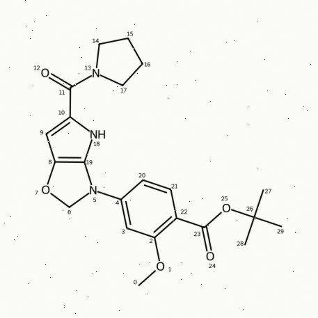 COc1cc(N2COc3cc(C(=O)N4CCCC4)[nH]c32)ccc1C(=O)OC(C)(C)C